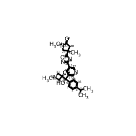 CC(C)c1ccc(C(O)(c2cncc(-c3noc([C@@]4(C)CC(=O)N(C)C4)n3)c2)C2(C)CN(C)C2)cc1